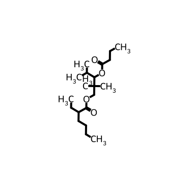 CCCCC(CC)C(=O)OCC(C)(C)C(OC(=O)CCC)C(C)C